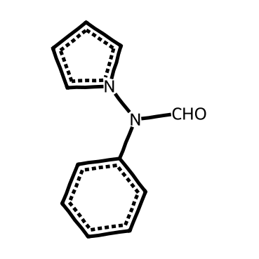 O=CN(c1ccccc1)n1cccc1